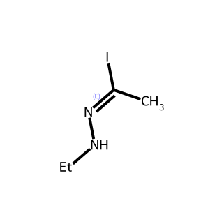 CCN/N=C(\C)I